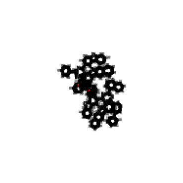 c1ccc(-c2cccc(-c3nc(-c4cccc5ccccc45)nc(-c4c(-n5c6ccccc6c6cc7ccccc7cc65)c5c6ccccc6oc5c5cc(-c6cccc7cc8c(cc67)c6cc7ccccc7cc6n8-c6c(-c7nc(-c8ccccc8)nc(-c8cc9ccccc9c9ccccc89)n7)ccc7oc8ccccc8c67)ccc45)n3)c2)cc1